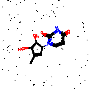 CC1=C[C@@H](n2ccc(=O)[nH]c2=O)[C@H](O)[C@@H]1O